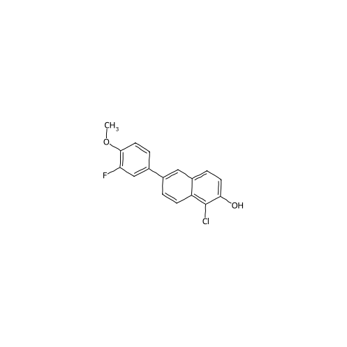 COc1ccc(-c2ccc3c(Cl)c(O)ccc3c2)cc1F